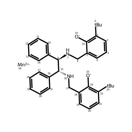 CC(C)(C)c1cccc(CN[C@H](c2ccccc2)[C@H](NCc2cccc(C(C)(C)C)c2[O-])c2ccccc2)c1[O-].[Mn+2]